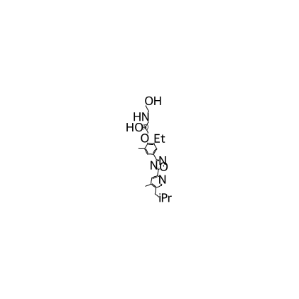 CCc1cc(-c2noc(-c3cc(C)c(CC(C)C)cn3)n2)cc(C)c1OC[C@@H](O)CNCCO